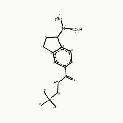 CC(C)(C)N(C(=O)O)C1CCc2cc(C(=O)NC[Si](C)(C)C)ccc21